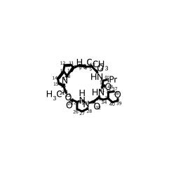 CC(C)C1NC(=O)C(C)(C)/C=C/c2ccc3ccc(nc3c2)[C@@H](C)OC(=O)C2CCCN(N2)C(=O)C(CC2CCOCC2)NC1=O